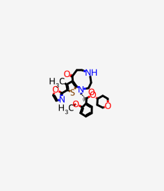 COc1ccccc1[C@H](CN1C(=O)CCNCCC(=O)c2c1sc(-c1ncco1)c2C)OC1CCOCC1